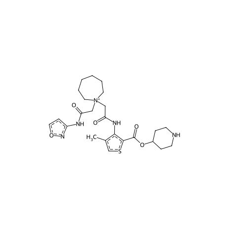 Cc1csc(C(=O)OC2CCNCC2)c1NC(=O)C[N+]1(CC(=O)Nc2ccon2)CCCCCC1